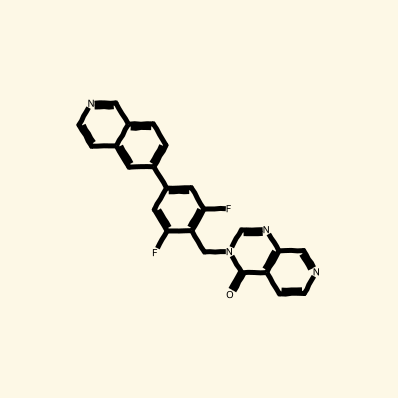 O=c1c2ccncc2ncn1Cc1c(F)cc(-c2ccc3cnccc3c2)cc1F